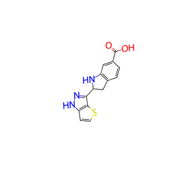 O=C(O)c1ccc2c(c1)NC(c1n[nH]c3ccsc13)C2